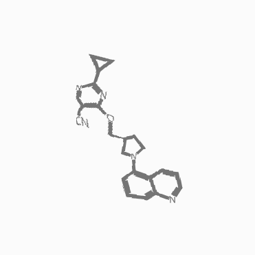 N#Cc1cnc(C2CC2)nc1OC[C@H]1CCN(c2cccc3ncccc23)C1